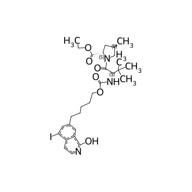 CCOC(=O)[C@@H]1C[C@@H](C)CN1C(=O)[C@@H](NC(=O)OCCCCCc1cc(I)c2ccnc(O)c2c1)C(C)(C)C